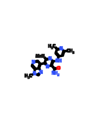 CNc1nc(Nc2cc(C)nc(C)c2)c(C(N)=O)nc1-c1cncc2c1ncn2C